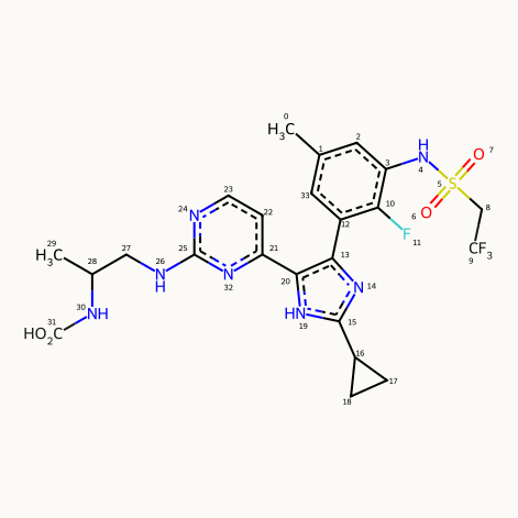 Cc1cc(NS(=O)(=O)CC(F)(F)F)c(F)c(-c2nc(C3CC3)[nH]c2-c2ccnc(NCC(C)NC(=O)O)n2)c1